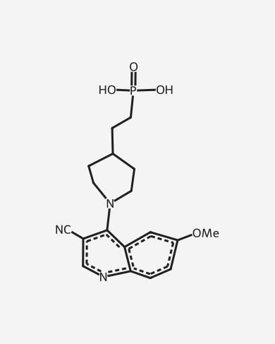 COc1ccc2ncc(C#N)c(N3CCC(CCP(=O)(O)O)CC3)c2c1